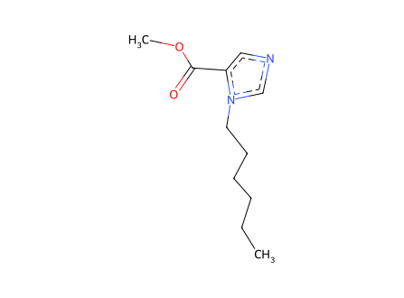 CCCCCCn1cncc1C(=O)OC